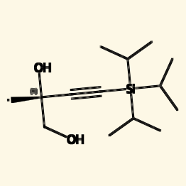 [CH2][C@@](O)(C#C[Si](C(C)C)(C(C)C)C(C)C)CO